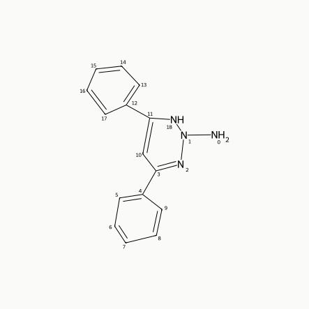 NN1N=C(c2ccccc2)C=C(c2ccccc2)N1